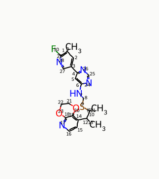 Cc1cc(-c2cc(NCS[C@@H](C)C(C)c3ccnc4c3OCCO4)ncn2)cnc1F